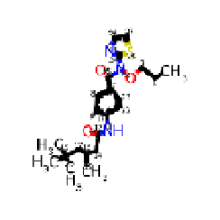 CCCON(C(=O)c1ccc(NC(=O)CC(C)CC(C)(C)C)cc1)c1nccs1